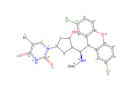 CCc1cn(C2CC(O)C([C@H](NC=O)C3c4cc(Cl)ccc4Oc4ccc(Cl)cc43)C2)c(=O)[nH]c1=O